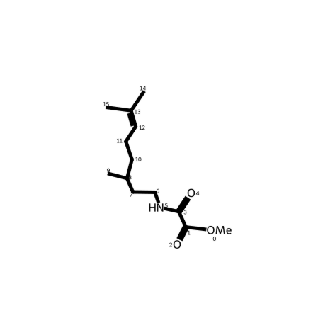 COC(=O)C(=O)NCCC(C)CCC=C(C)C